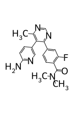 Cc1ncnc(-c2ccc(C(=O)N(C)C)c(F)c2)c1-c1ccc(N)nc1